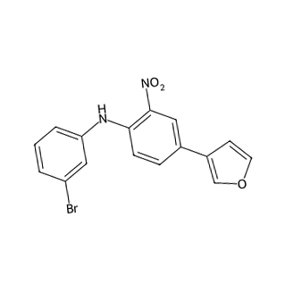 O=[N+]([O-])c1cc(-c2ccoc2)ccc1Nc1cccc(Br)c1